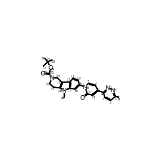 Cc1ccc(-c2ccn(-c3ccc4c5c(n(C)c4c3)CCN(C(=O)OC(C)(C)C)C5)c(=O)c2)nn1